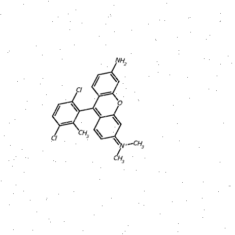 Cc1c(Cl)ccc(Cl)c1-c1c2ccc(=[N+](C)C)cc-2oc2cc(N)ccc12